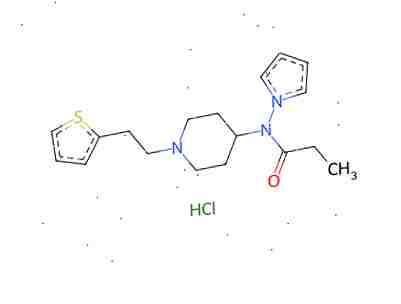 CCC(=O)N(C1CCN(CCc2cccs2)CC1)n1cccc1.Cl